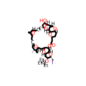 C=C1C[C@@H]2CC[C@]34C[C@@H](O)[C@H](O3)[C@H]3C[C@@H](O4)[C@H]4OC(CC[C@@H]4O3)CC(=O)O[C@@H]3C[C@@H]4O[C@H](CI)[C@H](O[Si](CC)(CC)CC)C[C@@H]4O[C@H]3C[C@H]3O[C@@H](CCC1O2)C[C@@H](C)C3=C